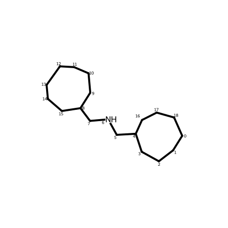 C1CCCC(CNCC2CCCCCCC2)CCC1